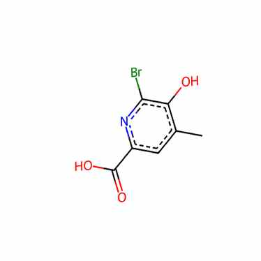 Cc1cc(C(=O)O)nc(Br)c1O